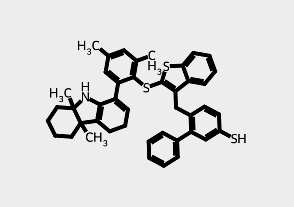 Cc1cc(C)c(Sc2sc3ccccc3c2Cc2ccc(S)cc2-c2ccccc2)c(C2=CCCC3=C2NC2(C)CCCCC32C)c1